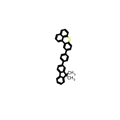 CC1(C)c2ccccc2-c2ccc(-c3ccc(-c4ccc5c(c4)-c4cccc6cccc(c46)S5)cc3)cc21